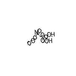 Cn1c(-c2ccc(OCc3ccccc3)cc2)c(C=C2Oc3cc(O)cc(O)c3C2=O)c2ccccc21